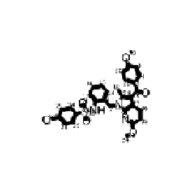 COc1ccc(C(=O)c2c(C)n(Cc3ccccc3NS(=O)(=O)c3ccc(Cl)cc3)c3nc(OC)ccc23)cc1